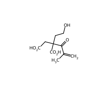 C=C(C)C(=O)C(CCO)(CC(=O)O)C(=O)O